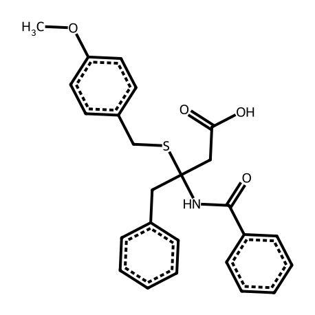 COc1ccc(CSC(CC(=O)O)(Cc2ccccc2)NC(=O)c2ccccc2)cc1